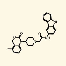 Cc1cccc2c1COC(=O)N2C1CCN(CC(=O)Nc2ccc3[nH]c4ccccc4c3c2)CC1